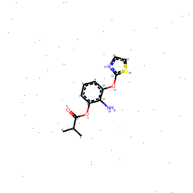 CC(C)C(=O)Oc1cccc(Oc2nccs2)c1N